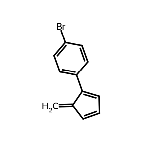 C=C1C=CC=C1c1ccc(Br)cc1